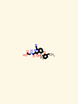 CCc1cccc(C)c1Oc1ccc2c(C#N)nc(C(=O)NCC(=O)O)c(O)c2c1